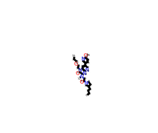 CCCCC1CCN(C(=O)CN(C)c2nc3ncc(-c4ccc(OC)nc4)cc3n(CCOCCC)c2=O)C1